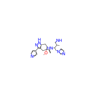 C=C(NC(Cn1ccnc1)C(C)C=N)C1(OC)CCc2[nH]nc(-c3ccncc3)c2C1